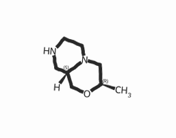 C[C@@H]1CN2CCNC[C@H]2CO1